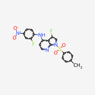 Cc1ccc(S(=O)(=O)n2cc(F)c3c(Nc4ccc([N+](=O)[O-])cc4F)ccnc32)cc1